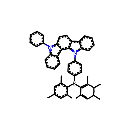 CC1=CC(C)C(C)C(C)=C1B(c1ccc(-n2c3ccccc3c3ccc4c(c5ccccc5n4-c4ccccc4)c32)cc1)c1c(C)cc(C)cc1C